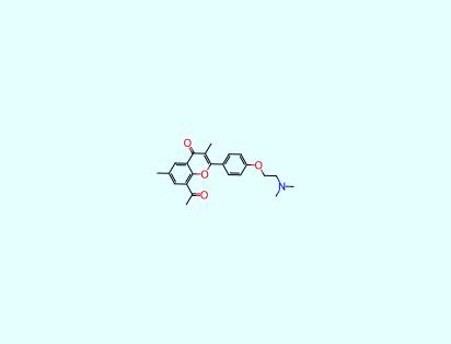 CC(=O)c1cc(C)cc2c(=O)c(C)c(-c3ccc(OCCN(C)C)cc3)oc12